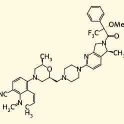 C=Nc1c(C#N)ccc(N2C[C@H](CN3CCN(c4ccc5c(n4)CN(C(=O)[C@](OC)(c4ccccc4)C(F)(F)F)[C@H]5C)CC3)O[C@H](C)C2)c1/C=C\C